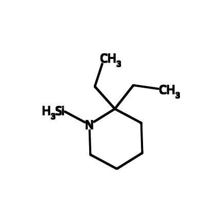 CCC1(CC)CCCCN1[SiH3]